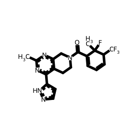 Cc1nc2c(c(-c3ccn[nH]3)n1)CCN(C(=O)C1=CC=CC(C(F)(F)F)C1(C)F)C2